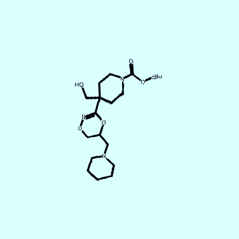 CC(C)(C)OC(=O)N1CCC(CO)(C2=NOCC(CN3CCCCC3)O2)CC1